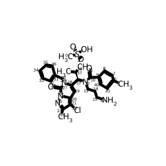 CS(=O)(=O)O.Cc1ccc(C(=O)N(CCCN)[C@@H](c2cc3c(Cl)c(C)nn3c(=O)n2Cc2ccccc2)C(C)C)cc1